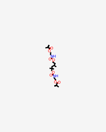 C=C(C)C(=O)OCCNC(=O)OCCC(C)CC(C)(C)COC(=O)NCCOC(=O)C(=C)C